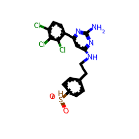 Nc1nc(NCCc2ccc([SH](=O)=O)cc2)cc(-c2ccc(Cl)c(Cl)c2Cl)n1